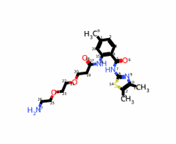 Cc1ccc(C(=O)Nc2nc(C)c(C)s2)c(NC(=O)CCOCCOCCN)c1